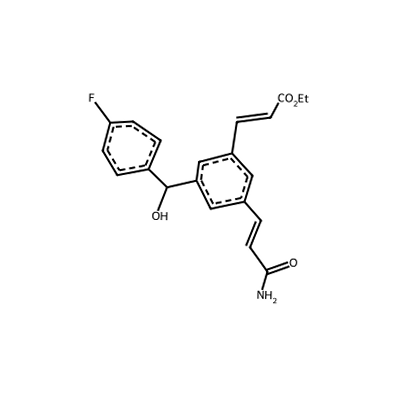 CCOC(=O)C=Cc1cc(C=CC(N)=O)cc(C(O)c2ccc(F)cc2)c1